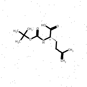 C=C(C)CC[C@H](NC(=O)OC(C)(C)C)C(=O)O